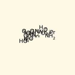 CC(C)[C@H](N)C(=O)ONc1ccn([C@@H]2O[C@H](CO)[C@H]3OC(=O)O[C@H]32)c(=O)n1